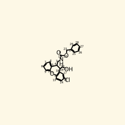 O=C(NCC1c2ccccc2Oc2ccc(Cl)cc2C1CO)OCc1ccccc1